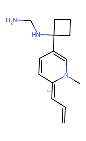 C=C/C=C1/C=CC(C2(NCN)CCC2)=CN1C